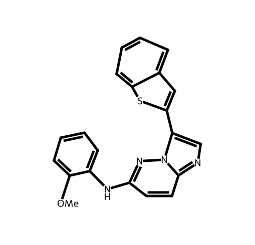 COc1ccccc1Nc1ccc2ncc(-c3cc4ccccc4s3)n2n1